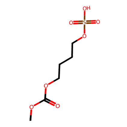 COC(=O)OCCCCOS(=O)(=O)O